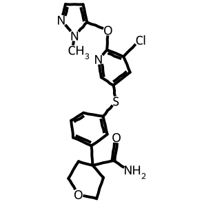 Cn1nccc1Oc1ncc(Sc2cccc(C3(C(N)=O)CCOCC3)c2)cc1Cl